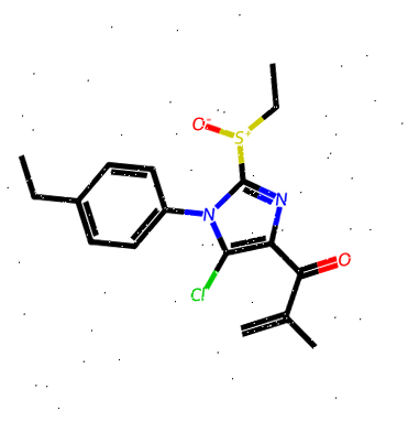 C=C(C)C(=O)c1nc([S+]([O-])CC)n(-c2ccc(CC)cc2)c1Cl